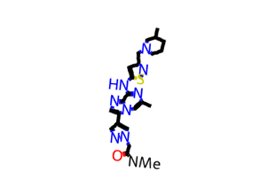 CNC(=O)Cn1cc(-c2cnc3c(Nc4cc(CN5CCCC(C)C5)ns4)nc(C)cn23)cn1